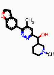 Cc1cc(C(O)C2CCCN(C)C2)nnc1-c1ccc2occc2c1